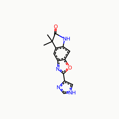 CC1(C)C(=O)Nc2cc3oc(-c4c[nH]cn4)nc3cc21